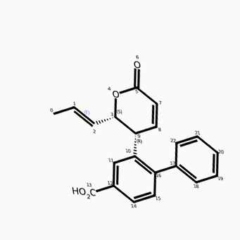 C/C=C/[C@@H]1OC(=O)C=C[C@@H]1c1cc(C(=O)O)ccc1-c1ccccc1